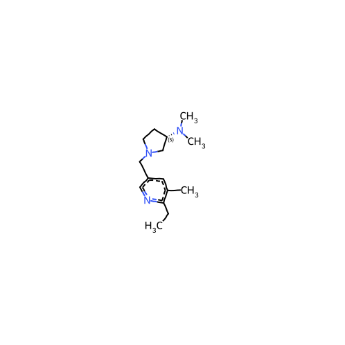 CCc1ncc(CN2CC[C@H](N(C)C)C2)cc1C